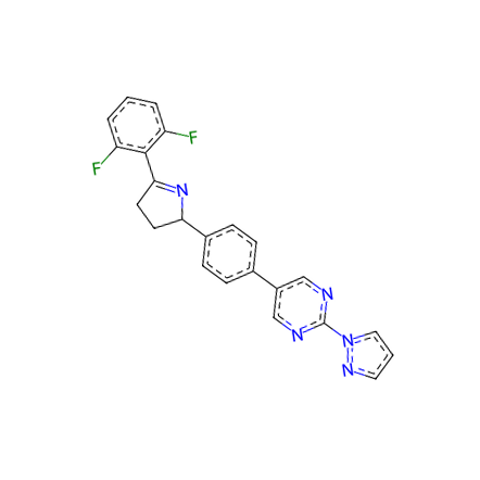 Fc1cccc(F)c1C1=NC(c2ccc(-c3cnc(-n4cccn4)nc3)cc2)CC1